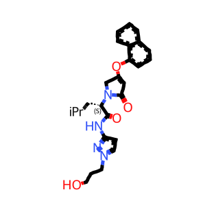 CC(C)C[C@@H](C(=O)Nc1ccn(CCCO)n1)N1CC(Oc2cccc3ccccc23)=CC1=O